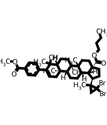 CCCCOC(=O)[C@]12CC[C@@H](C3(C)CC3(Br)Br)[C@@H]1[C@H]1CC[C@@H]3[C@@]4(C)CC=C(c5ccc(C(=O)OC)cc5)C(C)(C)[C@@H]4CC[C@@]3(C)[C@]1(C)CC2